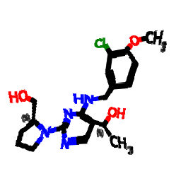 COc1ccc(CNc2nc(N3CCC[C@H]3CO)ncc2[C@H](C)O)cc1Cl